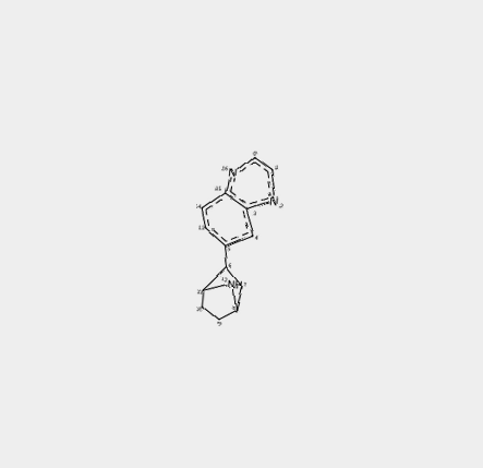 c1cnc2cc(C3CC4CCC3N4)ccc2n1